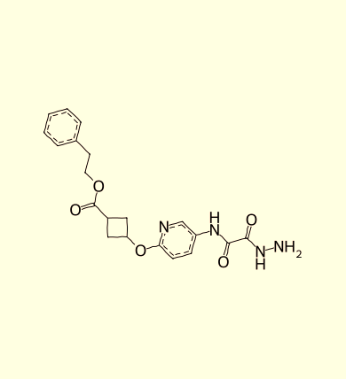 NNC(=O)C(=O)Nc1ccc(OC2CC(C(=O)OCCc3ccccc3)C2)nc1